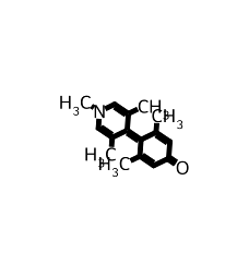 CC1=CC(=O)C=C(C)C1=C1C(C)=CN(C)C=C1C